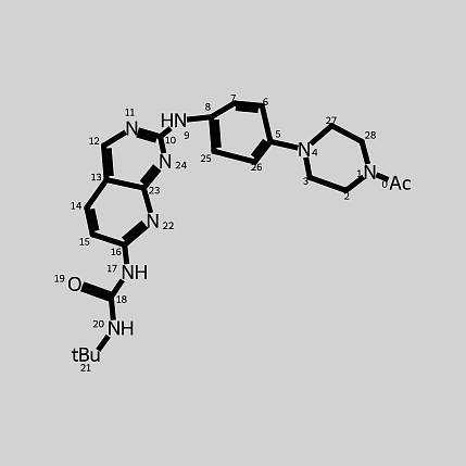 CC(=O)N1CCN(c2ccc(Nc3ncc4ccc(NC(=O)NC(C)(C)C)nc4n3)cc2)CC1